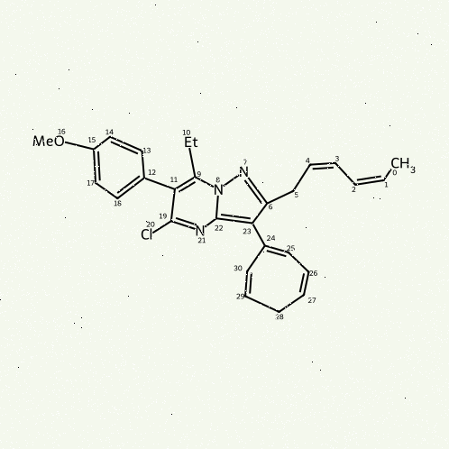 C/C=C\C=C/Cc1nn2c(CC)c(-c3ccc(OC)cc3)c(Cl)nc2c1C1=CC=CCC=C1